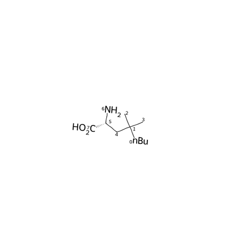 CCCCC(C)(C)C[C@@H](N)C(=O)O